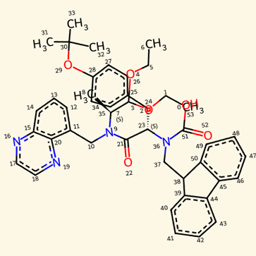 CCOC(OCC)[C@H](C)N(Cc1cccc2nccnc12)C(=O)[C@H](Cc1ccc(OC(C)(C)C)cc1)N(CC1c2ccccc2-c2ccccc21)C(=O)O